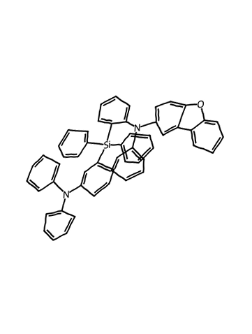 c1ccc(N(c2ccccc2)c2cccc([Si](c3ccccc3)(c3ccccc3)c3ccccc3N(c3ccccc3)c3ccc4oc5ccccc5c4c3)c2)cc1